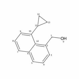 OCc1cccc2cccc(C3CC3)c12